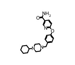 NC(=O)c1ccc(Oc2ccc(CN3CCN(C4CCCCC4)CC3)cc2)nc1